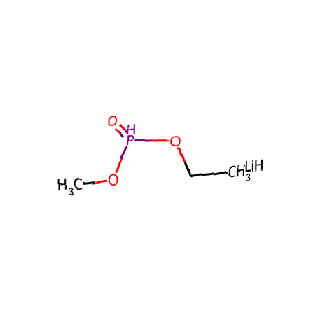 CCO[PH](=O)OC.[LiH]